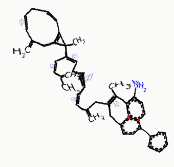 C=C(C)/C=C\C(=C/C/C=C\C=C/C(=C)C/C(Cc1ccc(-c2ccccc2)cc1)=C(\C)c1ccccc1N)C1(C)C2=C1CC(=C)/C=C\CC=C2